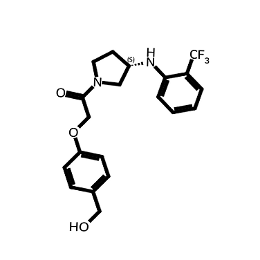 O=C(COc1ccc(CO)cc1)N1CC[C@H](Nc2ccccc2C(F)(F)F)C1